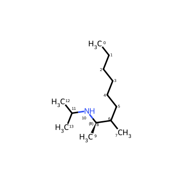 CCCCCCC(C)[C@@H](C)NC(C)C